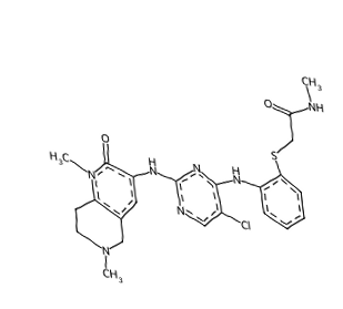 CNC(=O)CSc1ccccc1Nc1nc(Nc2cc3c(n(C)c2=O)CCN(C)C3)ncc1Cl